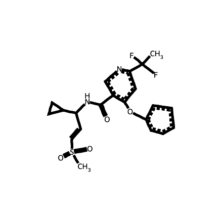 CC(F)(F)c1cc(Oc2ccccc2)c(C(=O)NC(C=CS(C)(=O)=O)C2CC2)cn1